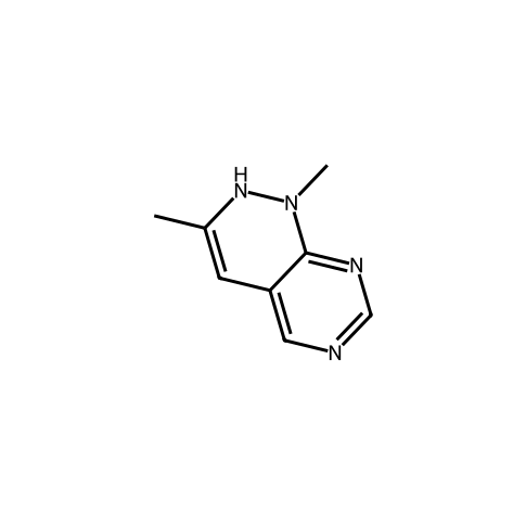 CC1=Cc2cncnc2N(C)N1